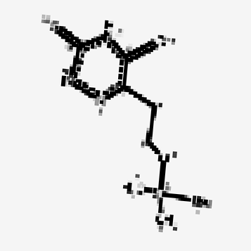 CC(C)(C)[Si](C)(C)OCCc1n[nH]c(=S)[nH]c1=O